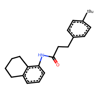 CC(C)(C)c1ccc(CCC(=O)Nc2cccc3c2CCCC3)cc1